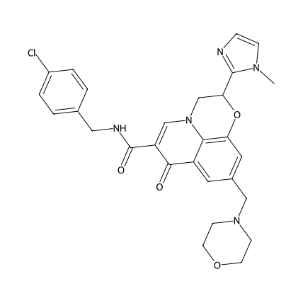 Cn1ccnc1C1Cn2cc(C(=O)NCc3ccc(Cl)cc3)c(=O)c3cc(CN4CCOCC4)cc(c32)O1